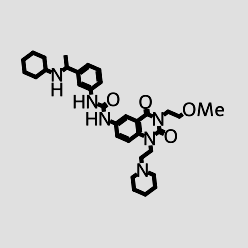 COCCn1c(=O)c2cc(NC(=O)Nc3cccc(C(C)NC4CCCCC4)c3)ccc2n(CCN2CCCCC2)c1=O